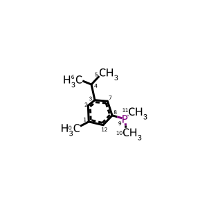 Cc1cc(C(C)C)cc(P(C)C)c1